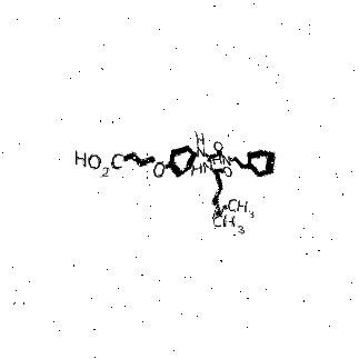 CN(C)CCCC(=O)NC(Nc1ccc(OCCCC(=O)O)cc1)C(=O)NCCc1ccccc1